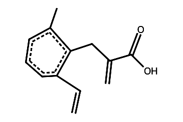 C=Cc1cccc(C)c1CC(=C)C(=O)O